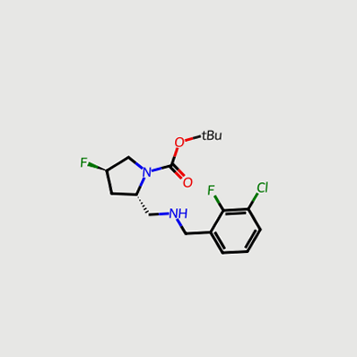 CC(C)(C)OC(=O)N1C[C@H](F)C[C@H]1CNCc1cccc(Cl)c1F